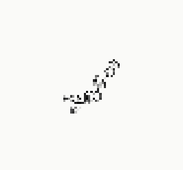 Cc1cc2cc(-c3nc(-c4cccc5c4CCN5CC(N)(CO)CO)no3)ccc2o1